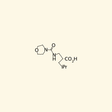 CC(C)C[C@H](CNC(=O)N1CCOCC1)C(=O)O